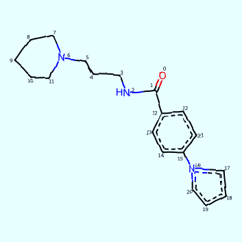 O=C(NCCCN1CCCCC1)c1ccc(-n2cccc2)cc1